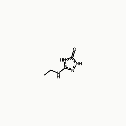 CCNc1n[nH]c(=O)[nH]1